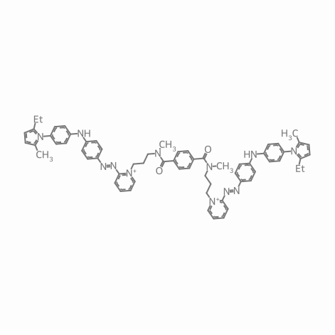 CCc1ccc(C)n1-c1ccc(Nc2ccc(/N=N/c3cccc[n+]3CCCN(C)C(=O)c3ccc(C(=O)N(C)CCC[n+]4ccccc4/N=N/c4ccc(Nc5ccc(-n6c(C)ccc6CC)cc5)cc4)cc3)cc2)cc1